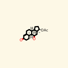 CC(=O)O[C@H]1CC[C@H]2[C@@H]3CCC4=CC(=O)CC[C@]4(C)[C@H]3C(=O)C[C@]12C